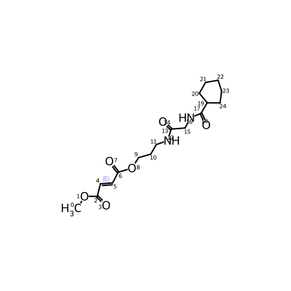 COC(=O)/C=C/C(=O)OCCCNC(=O)CNC(=O)C1CCCCC1